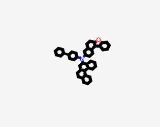 c1ccc(-c2ccc(N(c3ccc4c(ccc5oc6ccccc6c54)c3)c3cc4ccc5ccccc5c4c4ccccc34)cc2)cc1